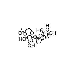 CC(=O)[C@H]1CCCOC2C(O1)[C@@H](O)C(CO)O[C@H]2O[C@@H]1CCCC(C)[C@H]1O[C@@H]1OC(C)[C@@H](O)C(O)[C@@H]1O